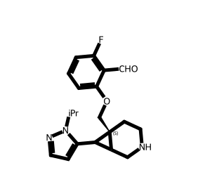 CC(C)n1nccc1C1C2CNCC[C@]21COc1cccc(F)c1C=O